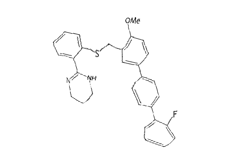 COc1ccc(-c2ccc(-c3ccccc3F)cc2)cc1CSc1ccccc1C1=NCCCN1